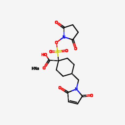 O=C1C=CC(=O)N1CC1CCC(C(=O)O)(S(=O)(=O)ON2C(=O)CCC2=O)CC1.[NaH]